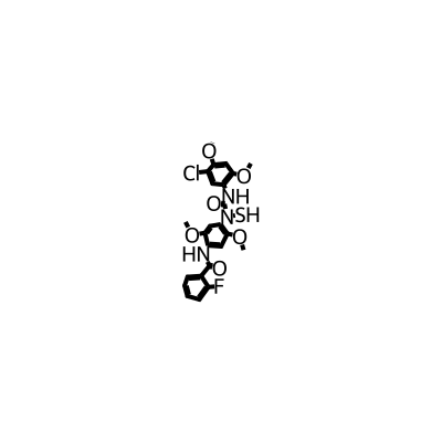 COc1cc(OC)c(NC(=O)N(S)c2cc(OC)c(NC(=O)c3ccccc3F)cc2OC)cc1Cl